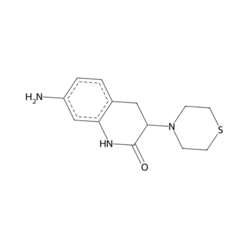 Nc1ccc2c(c1)NC(=O)C(N1CCSCC1)C2